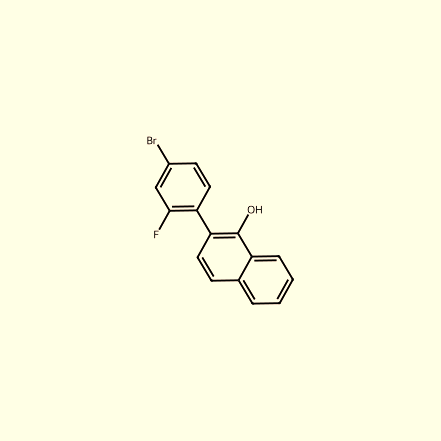 Oc1c(-c2ccc(Br)cc2F)ccc2ccccc12